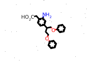 Nc1cc(C(CCOc2ccccc2)COc2ccccc2)ccc1CC(=O)O